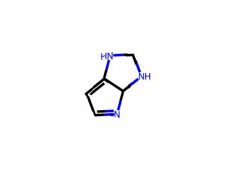 C1=NC2NCNC2=C1